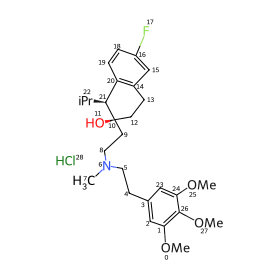 COc1cc(CCN(C)CC[C@@]2(O)CCc3cc(F)ccc3[C@@H]2C(C)C)cc(OC)c1OC.Cl